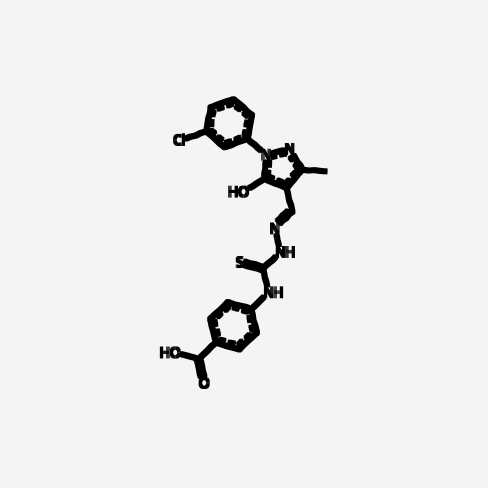 Cc1nn(-c2cccc(Cl)c2)c(O)c1C=NNC(=S)Nc1ccc(C(=O)O)cc1